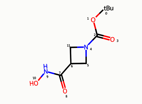 CC(C)(C)OC(=O)N1CC(C(=O)NO)C1